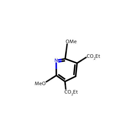 CCOC(=O)c1cc(C(=O)OCC)c(OC)nc1OC